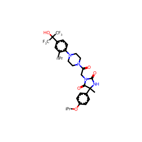 CCCc1cc(C(O)(C(F)(F)F)C(F)(F)F)ccc1N1CCN(C(=O)CN2C(=O)NC(C)(c3ccc(OC(C)C)cc3)C2=O)CC1